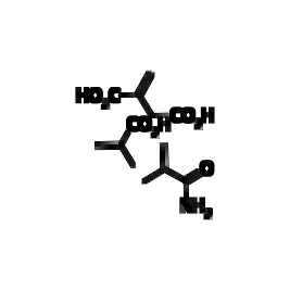 C=C(C)C(=O)O.C=C(C)C(N)=O.C=C(CC(=O)O)C(=O)O